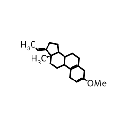 CC=C1CCC2C3CCC4=C(CC=C(OC)C4)C3CC[C@]12C